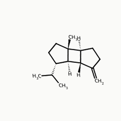 C=C1CC[C@H]2[C@H]1[C@H]1[C@H](C(C)C)CC[C@@]12C